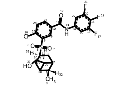 C[C@H]1C2C[C@H](S(=O)(=O)c3cc(C(=O)Nc4cc(F)c(F)c(F)c4)ccc3Cl)CC1[C@H]2CO